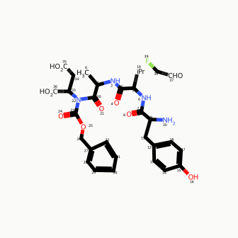 CC(NC(=O)C(NC(=O)C(N)Cc1ccc(O)cc1)C(C)C)C(=O)N(C(=O)OCc1ccccc1)C(CC(=O)O)C(=O)O.O=CCF